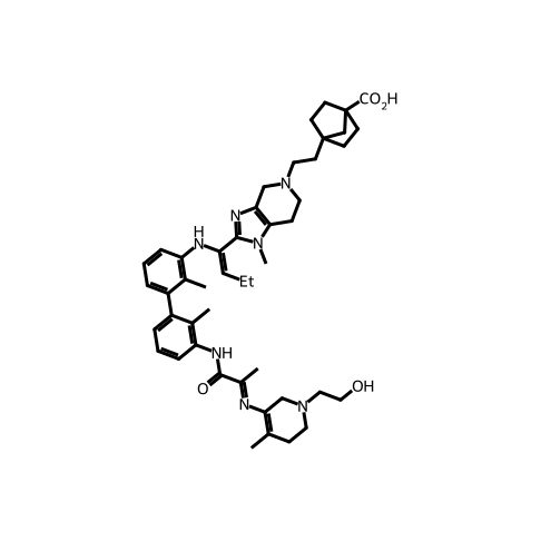 CC/C=C(/Nc1cccc(-c2cccc(NC(=O)/C(C)=N/C3=C(C)CCN(CCO)C3)c2C)c1C)c1nc2c(n1C)CCN(CCC13CCC(C(=O)O)(CC1)C3)C2